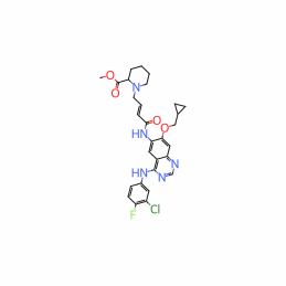 COC(=O)C1CCCCN1CC=CC(=O)Nc1cc2c(Nc3ccc(F)c(Cl)c3)ncnc2cc1OCC1CC1